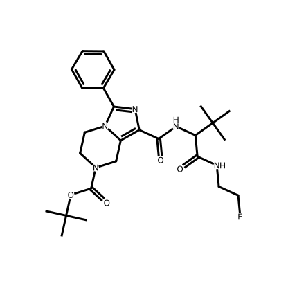 CC(C)(C)OC(=O)N1CCn2c(-c3ccccc3)nc(C(=O)NC(C(=O)NCCF)C(C)(C)C)c2C1